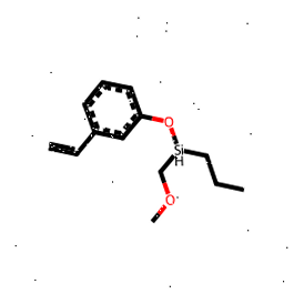 C=Cc1cccc(O[SiH](CCC)COC)c1